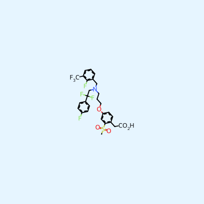 CS(=O)(=O)c1cc(OCCCN(Cc2cccc(C(F)(F)F)c2F)CC(F)(F)c2ccc(F)cc2)ccc1CC(=O)O